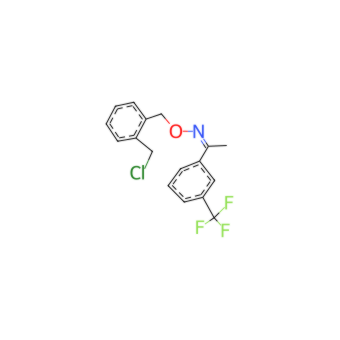 C/C(=N/OCc1ccccc1CCl)c1cccc(C(F)(F)F)c1